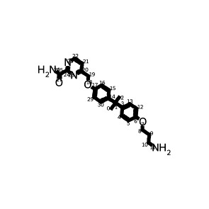 CC(C)(c1ccc(OCCCN)cc1)c1ccc(OCc2ccnc(C(N)=O)n2)cc1